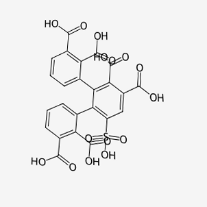 O=C(O)c1cccc(-c2c(S(=O)(=O)O)cc(C(=O)O)c(C(=O)O)c2-c2cccc(C(=O)O)c2C(=O)O)c1C(=O)O